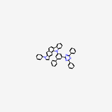 c1ccc(-c2cc(-c3nc(-c4ccccc4)nc(-c4ccccc4)n3)cc(-n3c4ccccc4c4ccc5cc6c(ccn6-c6ccccc6)cc5c43)c2)cc1